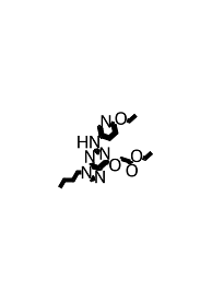 CCCCn1cnc2c(OCC(=O)OCC)nc(Nc3ccc(OCC)nc3)nc21